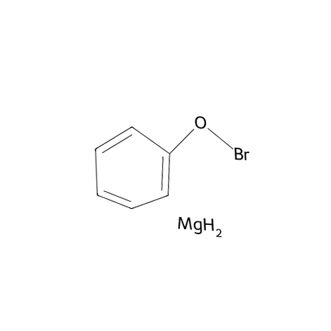 BrOc1ccccc1.[MgH2]